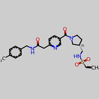 C=CS(=O)(=O)NC[C@H]1CCN(C(=O)c2ccc(CC(=O)NCc3ccc(C(F)(F)F)cc3)nc2)C1